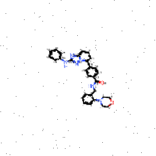 O=C(NCc1ccccc1N1CCOCC1)c1ccc(-c2cccc3nc(Nc4ccccc4)nn23)cc1